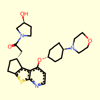 O=C(C[C@H]1CCc2sc3nccc(O[C@H]4CC[C@H](N5CCOCC5)CC4)c3c21)N1CC[C@H](O)C1